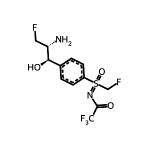 N[C@@H](CF)[C@H](O)c1ccc(S(=O)(CF)=NC(=O)C(F)(F)F)cc1